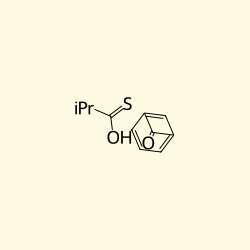 CC(C)C(O)=S.O=C1c2cccc1c2